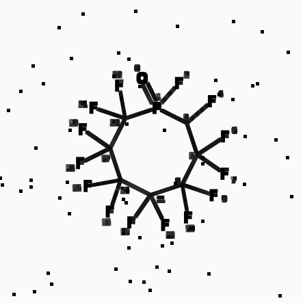 O=P1(F)C(F)C(F)(F)C(F)(F)C(F)(F)C(F)(F)C(F)(F)C1(F)F